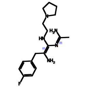 C/C(N)=N/C(NCCN1CCCC1)=C(\N)Cc1ccc(F)cc1